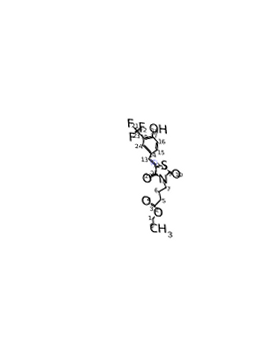 CCOC(=O)CCCN1C(=O)S/C(=C\c2ccc(O)c(C(F)(F)F)c2)C1=O